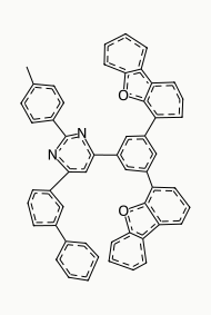 Cc1ccc(-c2nc(-c3cccc(-c4ccccc4)c3)cc(-c3cc(-c4cccc5c4oc4ccccc45)cc(-c4cccc5c4oc4ccccc45)c3)n2)cc1